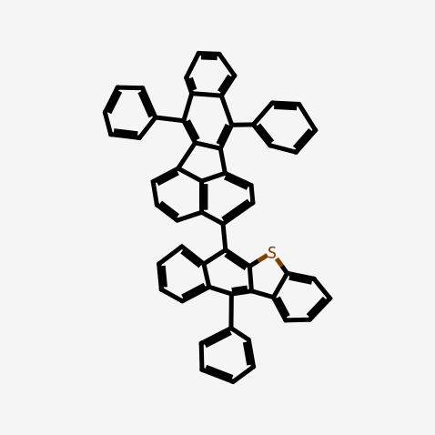 c1ccc(-c2c3c(c(-c4ccccc4)c4ccccc24)-c2ccc(-c4c5ccccc5c(-c5ccccc5)c5c4sc4ccccc45)c4cccc-3c24)cc1